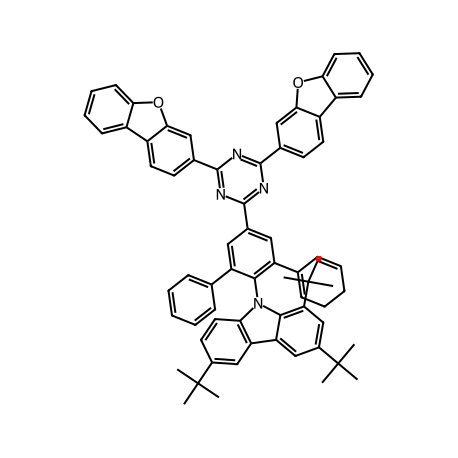 CC(C)(C)c1ccc2c(c1)c1cc(C(C)(C)C)cc(C(C)(C)C)c1n2-c1c(C2=CCCC=C2)cc(-c2nc(-c3ccc4c(c3)oc3ccccc34)nc(-c3ccc4c(c3)oc3ccccc34)n2)cc1-c1ccccc1